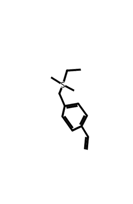 C=Cc1ccc(CS(C)(C)CC)cc1